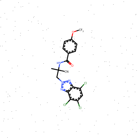 CC(C#N)(Cn1nc2c(Cl)cc(Cl)c(Cl)c2n1)NC(=O)c1ccc(OC(F)(F)F)cc1